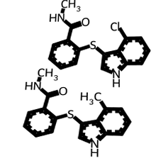 CNC(=O)c1ccccc1Sc1c[nH]c2cccc(C)c12.CNC(=O)c1ccccc1Sc1c[nH]c2cccc(Cl)c12